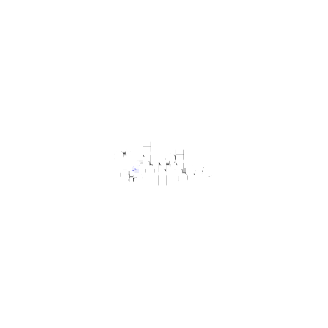 CS(=O)(=O)/C=C/[C@H](CCC(=O)O)NC(=O)CNC(=O)CNC(=O)OCc1ccccc1